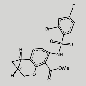 COC(=O)c1c(NS(=O)(=O)c2ccc(F)cc2Br)ccc2c1OC[C@@H]1C[C@H]21